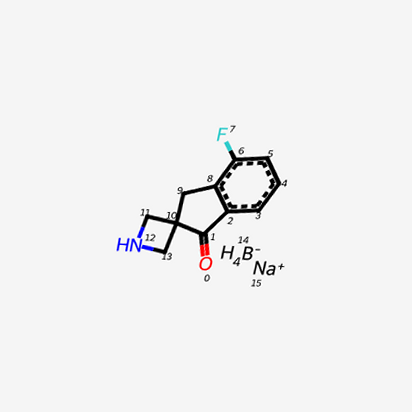 O=C1c2cccc(F)c2CC12CNC2.[BH4-].[Na+]